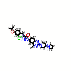 Cc1nc(N2CCC(N3CCCC3)CC2)nc2ccc(NC(=O)/C=C/c3ccc(OC(C)C)cc3Cl)cc12